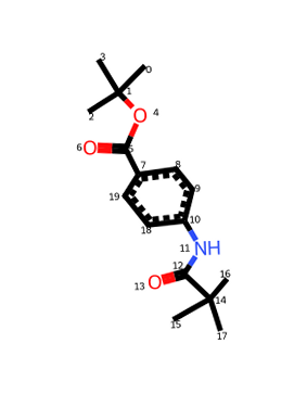 CC(C)(C)OC(=O)c1ccc(NC(=O)C(C)(C)C)cc1